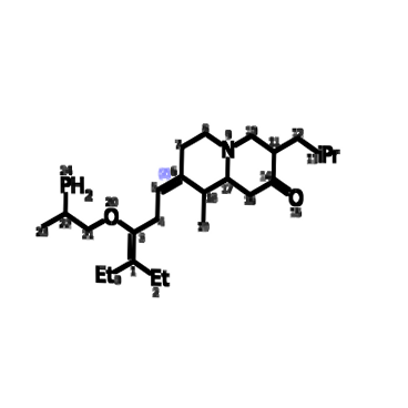 CCC(CC)=C(C/C=C1/CCN2CC(CC(C)C)C(=O)CC2C1C)OCC(C)P